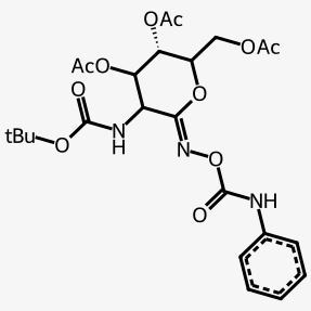 CC(=O)OCC1O/C(=N\OC(=O)Nc2ccccc2)C(NC(=O)OC(C)(C)C)C(OC(C)=O)[C@@H]1OC(C)=O